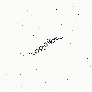 CCCCOc1ccc(OC(=O)c2ccc(-c3ccc(-c4ccc(OCCC)cc4)c(F)c3F)cc2)c(F)c1